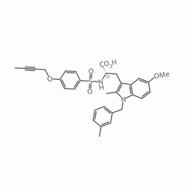 CC#CCOc1ccc(S(=O)(=O)N[C@@H](Cc2c(C)n(Cc3cccc(C)c3)c3ccc(OC)cc23)C(=O)O)cc1